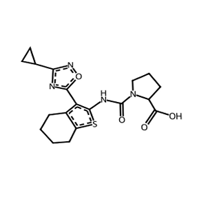 O=C(O)C1CCCN1C(=O)Nc1sc2c(c1-c1nc(C3CC3)no1)CCCC2